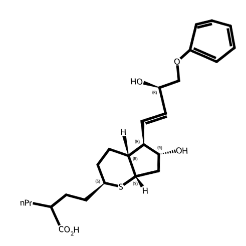 CCCC(CC[C@H]1CC[C@@H]2[C@@H](C=C[C@@H](O)COc3ccccc3)[C@H](O)C[C@@H]2S1)C(=O)O